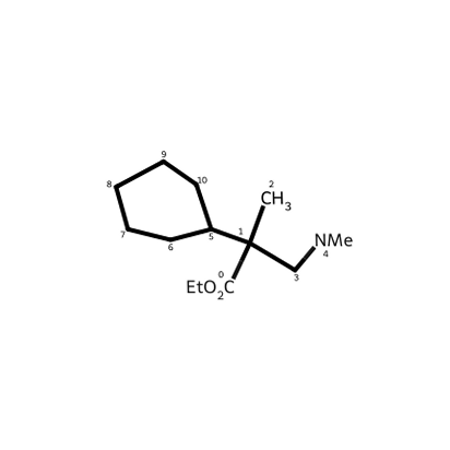 CCOC(=O)C(C)(CNC)C1CCCCC1